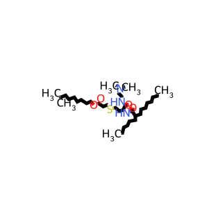 CCCCCCCCC(CCCCCC)C(=O)NC(CCSCCC(=O)OCCCCCCCC(C)C)C(=O)NCCN(C)C